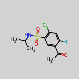 CC(=O)c1cc(S(=O)(=O)NC(C)C)c(Cl)cc1F